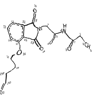 CCC(=O)NC(=O)CN1C(=O)c2cccc(OCCCC=O)c2C1=O